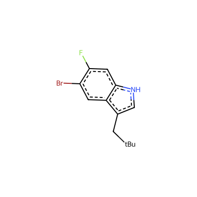 CC(C)(C)Cc1c[nH]c2cc(F)c(Br)cc12